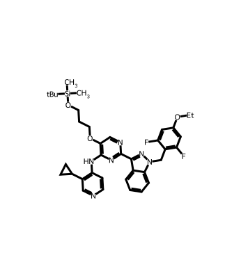 CCOc1cc(F)c(Cn2nc(-c3ncc(OCCCO[Si](C)(C)C(C)(C)C)c(Nc4ccncc4C4CC4)n3)c3ccccc32)c(F)c1